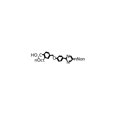 CCCCCCCCCc1cnc(-c2ccc(OCc3ccc(C(=O)O)c(CCCCCCCC)c3)cc2)nc1